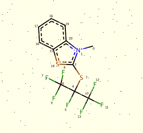 C[n+]1c(SC(F)(C(F)(F)F)C(F)(F)F)sc2ccccc21